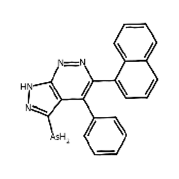 [AsH2]c1n[nH]c2nnc(-c3cccc4ccccc34)c(-c3ccccc3)c12